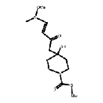 CON(C)C=CC(=O)CC1(O)CCN(C(=O)OC(C)(C)C)CC1